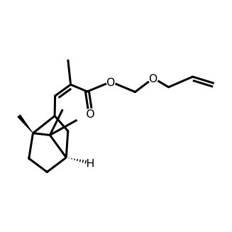 C=CCOCOC(=O)C(C)=CC1C[C@H]2CC[C@@]1(C)C2(C)C